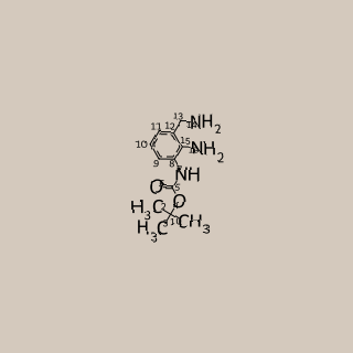 CC(C)(C)OC(=O)Nc1cccc(CN)c1N